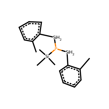 Cc1ccccc1[SiH2]P([SiH2]c1ccccc1C)[Si](C)(C)C